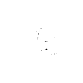 O=C(O)NC1(C(O)CO)CC1